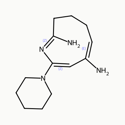 N\C1=N/C(N2CCCCC2)=C\C(N)=C/CCC1